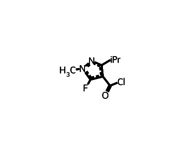 CC(C)c1nn(C)c(F)c1C(=O)Cl